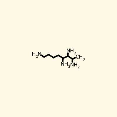 CC(N)C(N)C(N)CCCCN